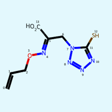 C=CCON=C(Cn1nnnc1S)C(=O)O